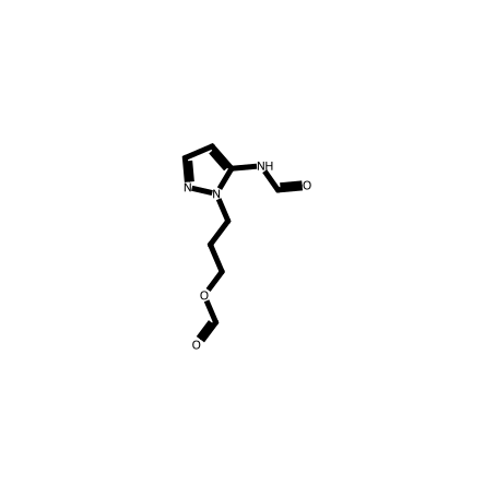 O=CNc1ccnn1CCCOC=O